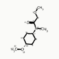 COCC(=O)N(C)[C@H]1CC[C@H](OC)CC1